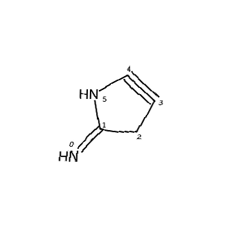 N=C1CC#CN1